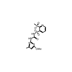 COc1cc(C)nc(NC(=O)NS(=O)(=O)c2cccnc2S(C)(=O)=O)n1